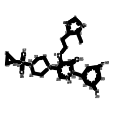 Cc1ncsc1CCOc1c(N2CCN(S(=O)(=O)C3CC3)CC2)cnn(-c2cc(F)cc(F)c2)c1=O